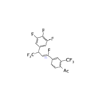 CC(=O)c1ccc(/C(F)=C/C(c2cc(F)c(F)c(F)c2)C(F)(F)F)cc1C(F)(F)F